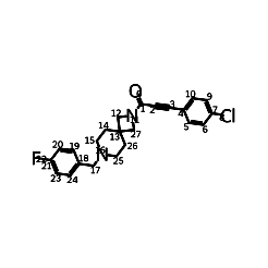 O=C(C#Cc1ccc(Cl)cc1)N1CC2(CCN(Cc3ccc(F)cc3)CC2)C1